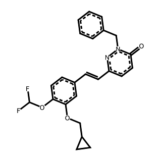 O=c1ccc(C=Cc2ccc(OC(F)F)c(OCC3CC3)c2)nn1Cc1ccccc1